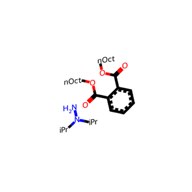 CC(C)N(N)C(C)C.CCCCCCCCOC(=O)c1ccccc1C(=O)OCCCCCCCC